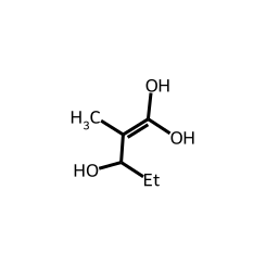 CCC(O)C(C)=C(O)O